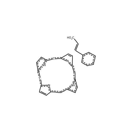 C1=Cc2cc3ccc(cc4nc(cc5ccc(cc1n2)[nH]5)C=C4)[nH]3.O=C(O)C=Cc1ccccc1